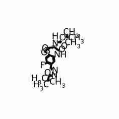 CC(C)(C)OC(=O)N[C@H]1CS(=O)(=O)c2cc(F)c(-c3nnc(C(C)(C)C)o3)cc2NC1=O